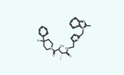 CC(=O)C1(c2ccccc2)CCN(C(=O)C(O)[C@@H](C)C(=O)NCc2ccc(Cn3c(C)nc4ccccc43)s2)CC1